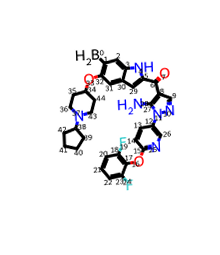 Bc1cc2[nH]c(C(=O)c3cnn(-c4ccc(Oc5c(F)cccc5F)nc4)c3N)cc2cc1OC1CCN(C2CCCC2)CC1